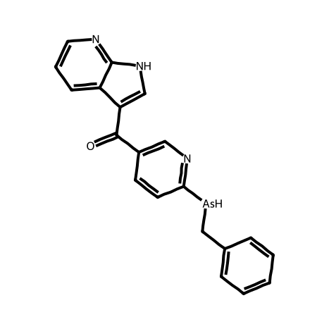 O=C(c1ccc([AsH]Cc2ccccc2)nc1)c1c[nH]c2ncccc12